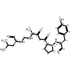 CC(C)C[C@@H](C=O)NCN[C@@H](C)C(=O)CC(=O)[C@@H]1CCCN1N[C@H](C=O)Cc1ccc(O)cc1